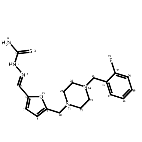 NC(=S)NN=Cc1ccc(CN2CCN(Cc3ccccc3F)CC2)o1